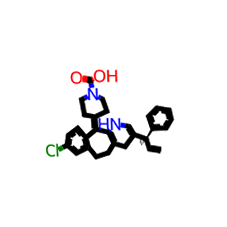 C=C[C@@H](C1=CNC2=C(CCc3cc(Cl)ccc3C2=C2CCN(C(=O)O)CC2)C1)c1ccccc1